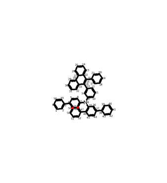 c1ccc(-c2ccc(N(c3cccc(-c4c(-c5ccccc5)c5ccccc5c5ccccc45)c3)c3cc(-c4ccccc4)ccc3-c3ccccc3)cc2)cc1